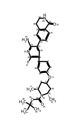 C[C@H]1CC(Oc2ccc(-c3cc(-c4ccc5c(c4)CCNC5=O)c(N)nc3F)cc2)C[C@H](C)N1C(=O)OC(C)(C)C